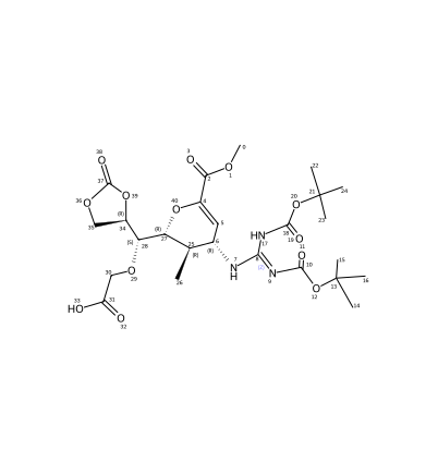 COC(=O)C1=C[C@H](N/C(=N/C(=O)OC(C)(C)C)NC(=O)OC(C)(C)C)[C@@H](C)[C@H]([C@H](OCC(=O)O)[C@H]2COC(=O)O2)O1